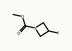 COC(=O)N1CC(F)C1